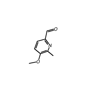 COc1ccc(C=O)nc1C